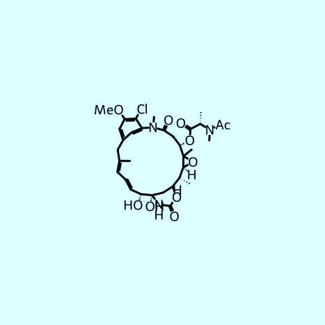 COc1cc2cc(c1Cl)N(C)C(=O)C[C@H](OC(=O)[C@H](C)N(C)C(C)=O)C1(C)O[C@H]1[C@H](C)[C@@H]1C[C@@](O)(NC(=O)O1)[C@H](O)/C=C/C=C(\C)C2